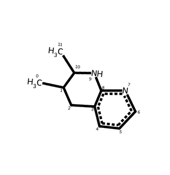 CC1Cc2cccnc2NC1C